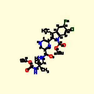 Cc1c(-c2cncc(C(=O)NCC(C)(C)NC(=O)OC(C)(C)C)n2)n(C(=O)OC(C)(C)C)c2cc(Cl)c(F)cc12